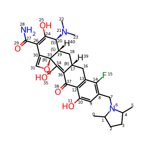 CC1CCC(C)N1Cc1cc(O)c2c(c1F)C[C@H]1C[C@H]3[C@H](N(C)C)C(O)=C(C(N)=O)C4=CO[C@@]43C(O)=C1C2=O